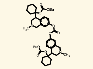 CC(C)COC(=O)OC1(C2CN(C)Cc3cc(OC(=O)Oc4ccc5c(c4)CN(C)CC5C4(OC(=O)OCC(C)C)CCCCC4)ccc32)CCCCC1